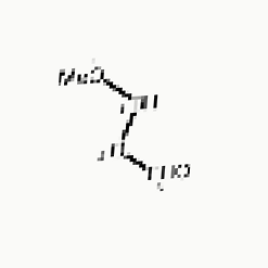 COBOC=O